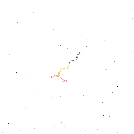 C=CCSS[PH](=O)O